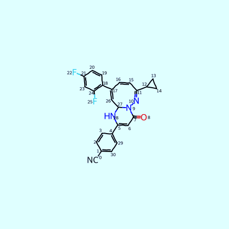 N#Cc1ccc(C2=CC(=O)N3\N=C(C4CC4)/C=C\C(c4ccc(F)cc4F)=C/C3N2)cc1